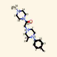 Cc1ccc(N2CCN(CC(=O)N3CCN(C(C)C)CC3)CC2C)cc1